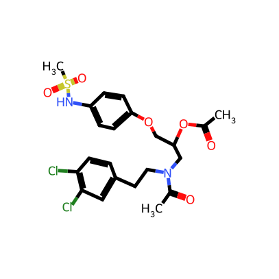 CC(=O)OC(COc1ccc(NS(C)(=O)=O)cc1)CN(CCc1ccc(Cl)c(Cl)c1)C(C)=O